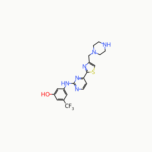 Oc1cc(Nc2nccc(-c3nc(CN4CCNCC4)cs3)n2)cc(C(F)(F)F)c1